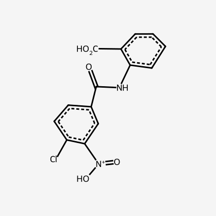 O=C(Nc1ccccc1C(=O)O)c1ccc(Cl)c([N+](=O)O)c1